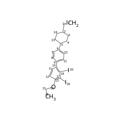 C=CC1CCC(c2ccc(-c3ccc(OCC)c(I)c3I)cc2)CC1